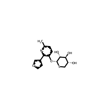 Cc1ccc(O[C@H]2SC[C@@H](O)[C@H](O)[C@H]2O)c(-c2ccoc2)n1